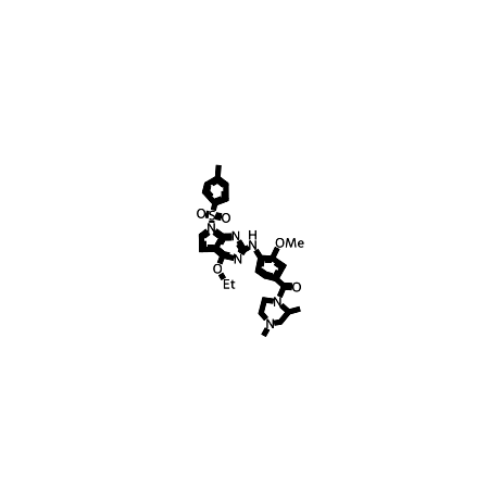 CCOc1nc(Nc2ccc(C(=O)N3CCN(C)CC3C)cc2OC)nc2c1ccn2S(=O)(=O)c1ccc(C)cc1